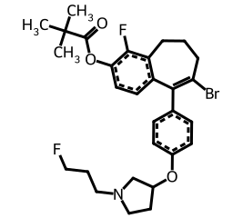 CC(C)(C)C(=O)Oc1ccc2c(c1F)CCCC(Br)=C2c1ccc(OC2CCN(CCCF)C2)cc1